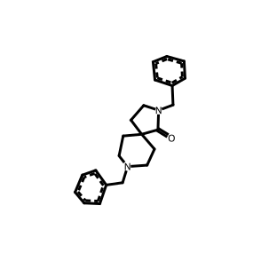 O=C1N(Cc2ccccc2)CCC12CCN(Cc1ccccc1)CC2